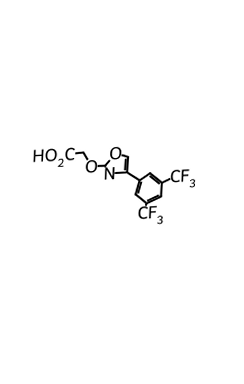 O=C(O)COc1nc(-c2cc(C(F)(F)F)cc(C(F)(F)F)c2)co1